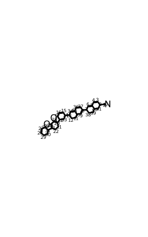 N#CC1C=CC2=CC(C3=CC4CCC(C5C=CC6OC7=C(CCC8=C7OC7C=CCCC87)C6C5)C=C4C=C3)CCC2C1